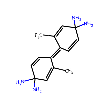 NC1(N)C=CC(=C2C=CC(N)(N)C=C2C(F)(F)F)C(C(F)(F)F)=C1